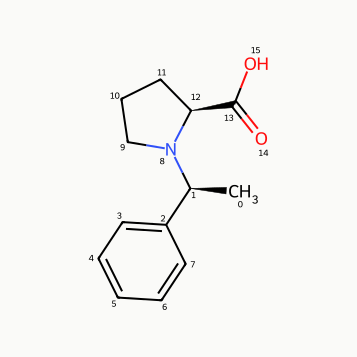 C[C@@H](c1ccccc1)N1CCC[C@H]1C(=O)O